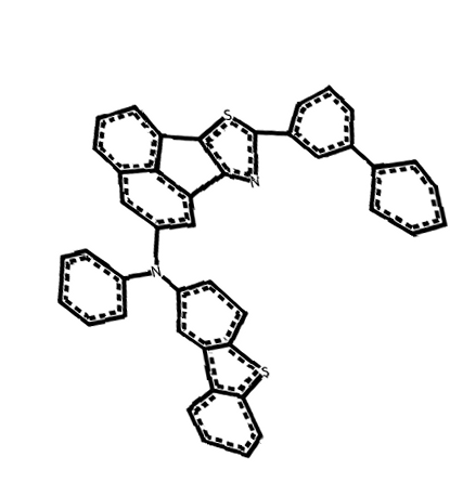 c1ccc(-c2cccc(-c3nc4c(s3)-c3cccc5cc(N(c6ccccc6)c6ccc7sc8ccccc8c7c6)cc-4c35)c2)cc1